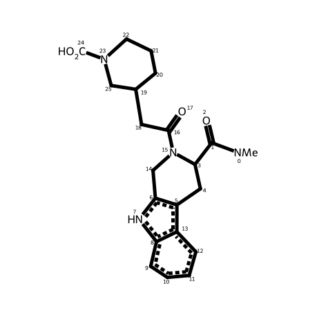 CNC(=O)C1Cc2c([nH]c3ccccc23)CN1C(=O)CC1CCCN(C(=O)O)C1